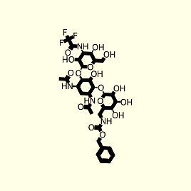 CC(=O)NC1C[C@@H](NC(C)=O)[C@@H](O[C@H]2OC(CO)[C@@H](O)[C@@H](NC(=O)C(F)(F)F)C2O)C(O)[C@@H]1O[C@H]1OC(CNC(=O)OCc2ccccc2)[C@@H](O)[C@H](O)C1O